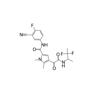 Cc1c(C(=O)C(=O)NC(C)C(C)(F)F)cc(C(=O)Nc2ccc(F)c(C#N)c2)n1C